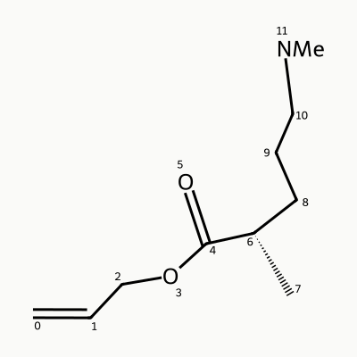 C=CCOC(=O)[C@@H](C)CCCNC